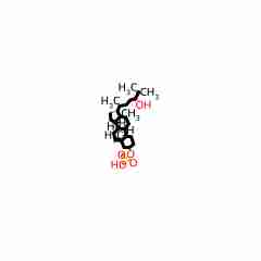 CC(C)C(O)CC[C@@H](C)[C@H]1CC[C@H]2[C@@H]3CC=C4C[C@H](OS(=O)(=O)O)CC[C@]4(C)[C@H]3CC[C@]12C